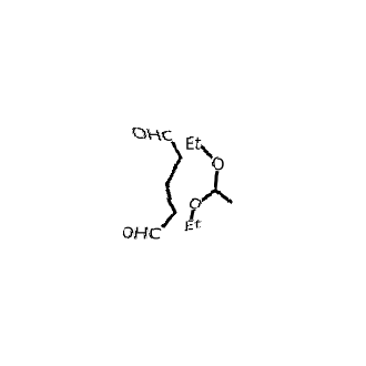 CCOC(C)OCC.O=CCCCC=O